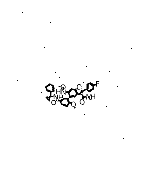 CNC(=O)c1c(-c2ccc(F)cc2)oc2cc(NOC)c(-c3cc(C(=O)NC4(c5ccccc5)CC4)ccc3OC)cc12